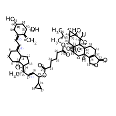 C=C1/C(=C\C=C2/CCC[C@@]3(C)C2CCC3[C@@H](C)/C=C/C(OC(=O)CCCCC(=O)O[C@H]2[C@]34O[C@H]3C[C@H]3C5=C(CC[C@]3(C)[C@@]43O[C@H]3C3(O)C[C@]23C(C)C)C(=O)OC5)C2CC2)C[C@@H](O)C[C@@H]1O